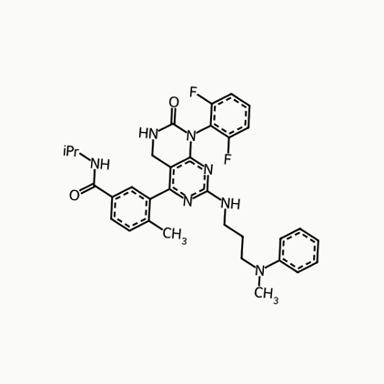 Cc1ccc(C(=O)NC(C)C)cc1-c1nc(NCCCN(C)c2ccccc2)nc2c1CNC(=O)N2c1c(F)cccc1F